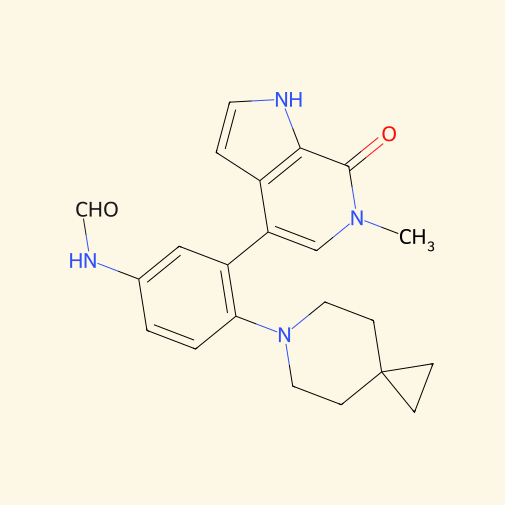 Cn1cc(-c2cc(NC=O)ccc2N2CCC3(CC2)CC3)c2cc[nH]c2c1=O